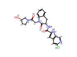 O=C(NC1Cc2ccccc2N(CC(=O)N2CC[C@@H](O)C2)C1=O)c1cc2cc(Cl)ncc2[nH]1